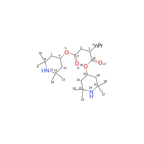 CCCC(CC(=O)OC1CC(C)(C)NC(C)(C)C1)C(=O)OC1CC(C)(C)NC(C)(C)C1